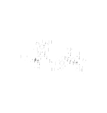 C=CC(=O)N[C@H]1COC[C@H]1Nc1cc2c(N3CC(N(C)CCOc4cc(OC)c(Cl)c(-c5nc(N6CC(F)(F)C6)c6cc(N[C@@H]7COC[C@@H]7NC(=O)C=C)ncc6n5)c4Cl)C3)nc(-c3c(Cl)c(OC)cc(OC)c3Cl)nc2cn1